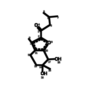 Cc1c(C(=O)CC(C)C)oc2c1CCC(C)(O)C2O